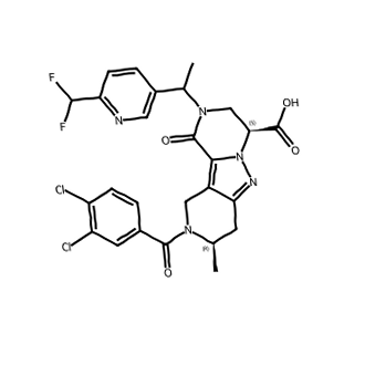 CC(c1ccc(C(F)F)nc1)N1C[C@@H](C(=O)O)n2nc3c(c2C1=O)CN(C(=O)c1ccc(Cl)c(Cl)c1)[C@H](C)C3